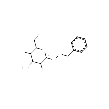 OCC1OC(OOCc2ccccc2)C(O)C(O)C1O